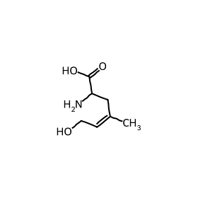 CC(=CCO)CC(N)C(=O)O